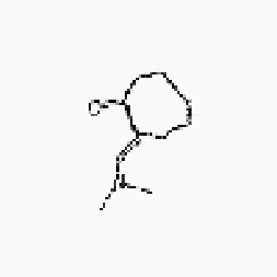 CN(C)/C=C1\CCCCCC1=O